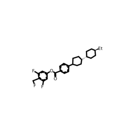 CC[C@H]1CC[C@H](C2CCC(c3ccc(C(=O)Oc4cc(F)c(CF)c(F)c4)cc3)CC2)CC1